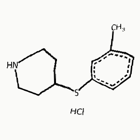 Cc1cccc(SC2CCNCC2)c1.Cl